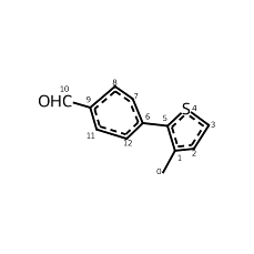 Cc1ccsc1-c1ccc(C=O)cc1